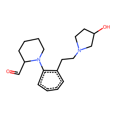 O=CC1CCCCN1c1ccccc1CCN1CCC(O)C1